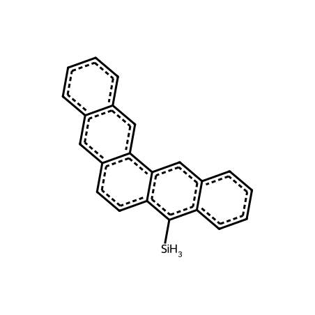 [SiH3]c1c2ccccc2cc2c1ccc1cc3ccccc3cc12